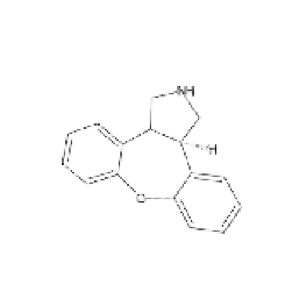 c1ccc2c(c1)Oc1ccccc1[C@@H]1CNCC21